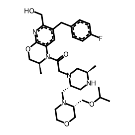 CC(C)OC[C@@H]1COCCN1C[C@H]1CN[C@H](C)CN1CC(=O)N1c2cc(Cc3ccc(F)cc3)c(CO)nc2OC[C@@H]1C